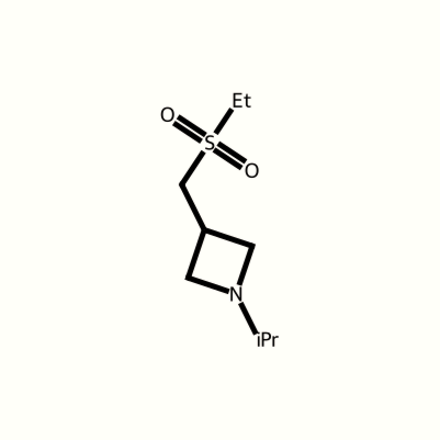 CCS(=O)(=O)CC1CN(C(C)C)C1